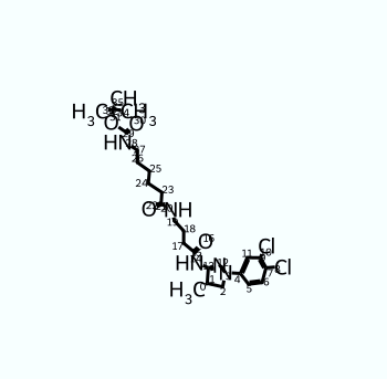 CC1CN(c2ccc(Cl)c(Cl)c2)N=C1NC(=O)CCCNC(=O)CCCCCNC(=O)OC(C)(C)C